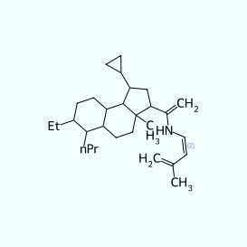 C=C(C)/C=C\NC(=C)C1CC(C2CC2)C2C3CCC(CC)C(CCC)C3CCC12C